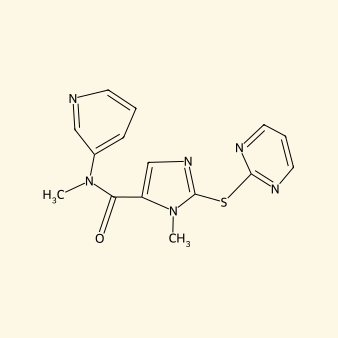 CN(C(=O)c1cnc(Sc2ncccn2)n1C)c1cccnc1